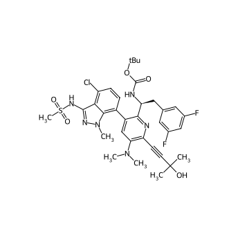 CN(C)c1cc(-c2ccc(Cl)c3c(NS(C)(=O)=O)nn(C)c23)c([C@H](Cc2cc(F)cc(F)c2)NC(=O)OC(C)(C)C)nc1C#CC(C)(C)O